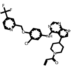 C=CC(=O)N1CCC(c2c[nH]c3ncnc(Nc4ccc(OCc5cc(C(F)(F)F)ccn5)c(Cl)c4)c23)CC1